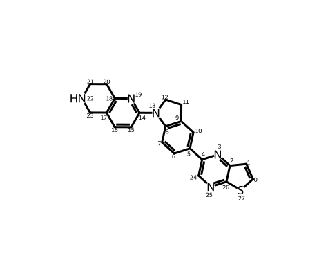 c1cc2nc(-c3ccc4c(c3)CCN4c3ccc4c(n3)CCNC4)cnc2s1